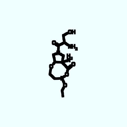 CCOB1CCOC2CN(C(=O)C(N)CO)CC2(N)C(=O)O1